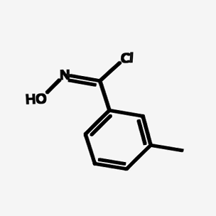 Cc1cccc(/C(Cl)=N\O)c1